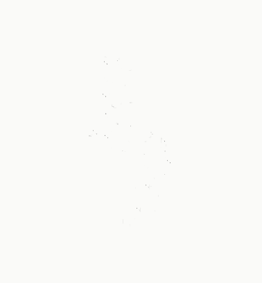 CN1CCN(c2cnc3[nH]cc(-c4ccn5ncc(C(=O)Nc6cccnc6)c5c4)c3c2)CC1